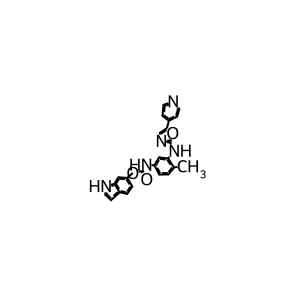 Cc1ccc(NC(=O)Oc2ccc3cc[nH]c3c2)cc1Nc1ncc(-c2ccncc2)o1